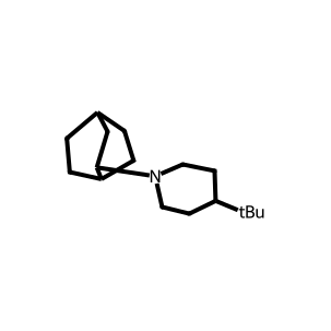 CC(C)(C)C1CCN(C2CC3CCC2CC3)CC1